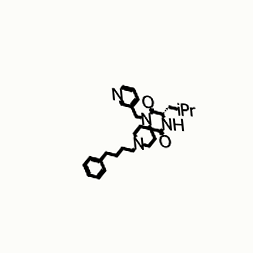 CC(C)C[C@@H]1NC(=O)C2(CCN(CCCCc3ccccc3)CC2)N(Cc2cccnc2)C1=O